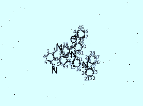 N#Cc1cccc(C#N)c1-c1ccc(-c2ccc(-n3c4ccccc4c4ccccc43)cc2-n2c3ccccc3c3c4oc5ccccc5c4ccc32)cc1